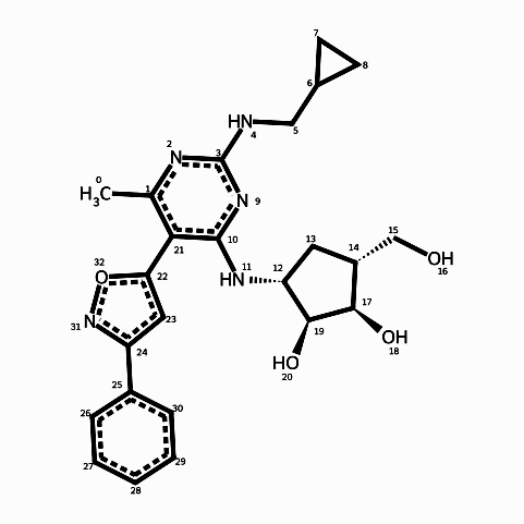 Cc1nc(NCC2CC2)nc(N[C@@H]2C[C@H](CO)[C@@H](O)[C@H]2O)c1-c1cc(-c2ccccc2)no1